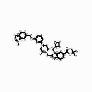 C[C@H]1CN(c2cccc(OCc3ccc4cnn(C)c4c3)n2)CCN1Cc1nc2ccc(C(=O)OC(C)(C)C)cc2n1C[C@@H]1CCO1